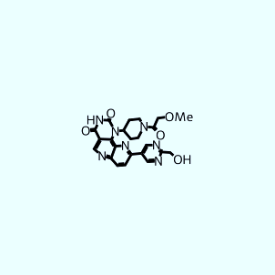 COCC(=O)N1CCC(n2c(=O)[nH]c(=O)c3cnc4ccc(-c5cnc(CO)nc5)nc4c32)CC1